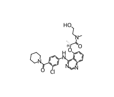 C[C@@H](Oc1cccc2ncnc(Nc3ccc(C(=O)N4CCCCC4)c(Cl)c3)c12)C(=O)N(C)CCO